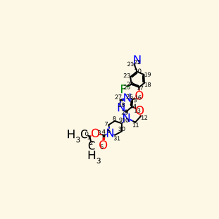 CC(C)OC(=O)N1CCC(N2CCOc3c(Oc4ccc(C#N)cc4F)ncnc32)CC1